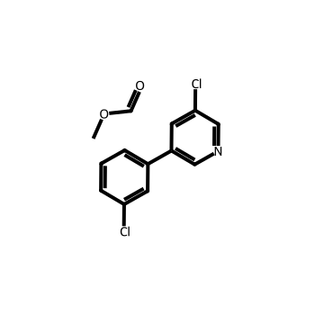 COC=O.Clc1cccc(-c2cncc(Cl)c2)c1